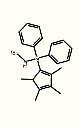 CC1=C(C)C(C)C([Si](NC(C)(C)C)(c2ccccc2)c2ccccc2)=C1C